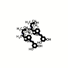 C[C@H](/C=C/[C@H](C)C(C)(C)O)[C@H]1CC[C@H]2/C(=C/C=C3C[C@@H](O)C[C@H](O)C3)CCC[C@]12C.C[C@H](/C=C/[C@H](C)C(C)(C)O)[C@H]1CC[C@H]2/C(=C/C=C3C[C@@H](O)C[C@H](O)C3)CCC[C@]12C